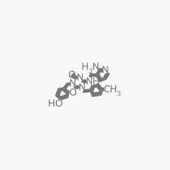 Cc1ccc(Cn2c(NCc3cccnc3N)nc(=O)n(Cc3ccc(O)cc3)c2=O)cc1